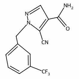 N#Cc1c(C(N)=O)cnn1Cc1cccc(C(F)(F)F)c1